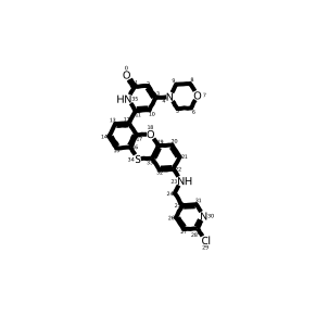 O=c1cc(N2CCOCC2)cc(-c2cccc3c2Oc2ccc(NCc4ccc(Cl)nc4)cc2S3)[nH]1